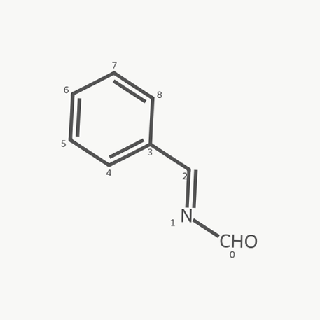 O=C/N=C/c1ccccc1